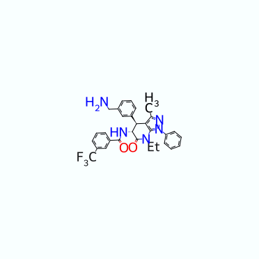 CCN1C(=O)[C@H](NC(=O)c2cccc(C(F)(F)F)c2)[C@@H](c2cccc(CN)c2)c2c(C)nn(-c3ccccc3)c21